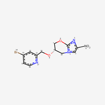 O=[N+]([O-])c1cn2c(n1)OC[C@@H](OCc1cc(Br)ccn1)C2